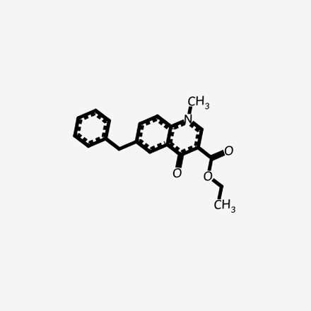 CCOC(=O)c1cn(C)c2ccc(Cc3ccccc3)cc2c1=O